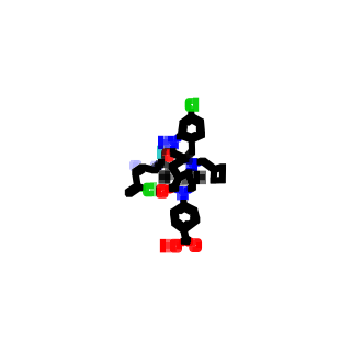 C=C(Cl)/C=C\C=C(/F)[C@H]1[C@@H]2C(=O)N(c3ccc(C(=O)O)cc3)C[C@@H]2N(CC2CCC2)[C@]12Cc1ccc(Cl)cc1NC2=O